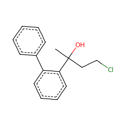 CC(O)(CCCl)c1ccccc1-c1ccccc1